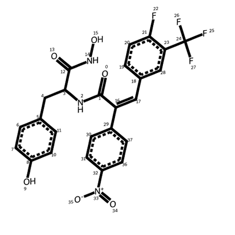 O=C(NC(Cc1ccc(O)cc1)C(=O)NO)/C(=C\c1ccc(F)c(C(F)(F)F)c1)c1ccc([N+](=O)[O-])cc1